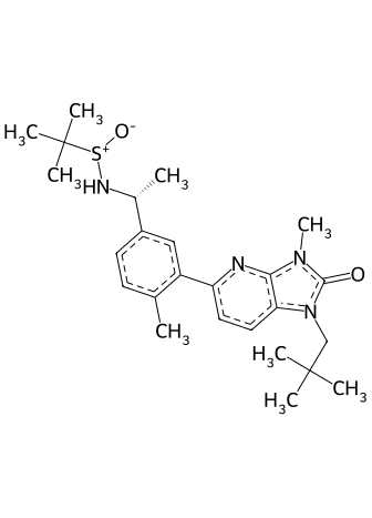 Cc1ccc([C@@H](C)N[S+]([O-])C(C)(C)C)cc1-c1ccc2c(n1)n(C)c(=O)n2CC(C)(C)C